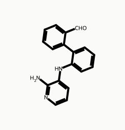 Nc1ncccc1Nc1ccccc1-c1ccccc1C=O